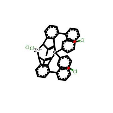 CC1=C2c3c(-c4ccccc4)cccc3[CH]1[Zr+2][CH]1C(C)=C(c3c(-c4ccccc4)cccc31)[Si]2(c1ccc(Cl)cc1)c1ccc(Cl)cc1.[Cl-].[Cl-]